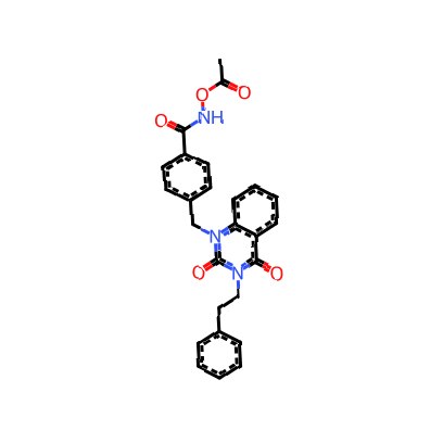 CC(=O)ONC(=O)c1ccc(Cn2c(=O)n(CCc3ccccc3)c(=O)c3ccccc32)cc1